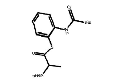 CCCCCCC(C)C(=O)Sc1ccccc1NC(=O)C(C)(C)C